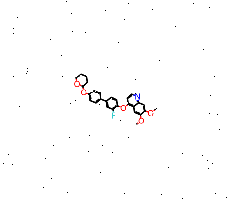 COc1cc2nccc(Oc3ccc(-c4ccc(OC5CCCCO5)cc4)cc3F)c2cc1OC